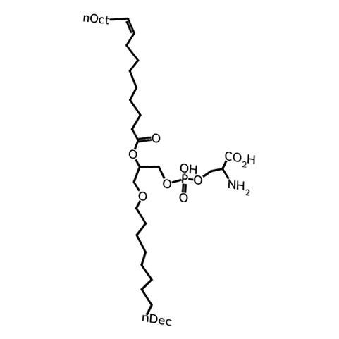 CCCCCCCC/C=C\CCCCCCCC(=O)OC(COCCCCCCCCCCCCCCCCCC)COP(=O)(O)OCC(N)C(=O)O